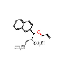 C=CCOC(c1ccc2ccccc2c1)C(CC(=O)OCC)C(=O)OCC